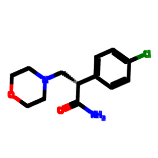 NC(=O)[C@H](CN1CCOCC1)c1ccc(Cl)cc1